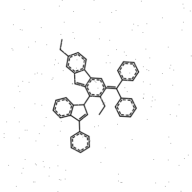 CCc1ccc2c(c1)[C]=c1c-2cc(=C(c2ccccc2)c2ccccc2)c(CC)c1C1C=C(c2ccccc2)c2ccccc21